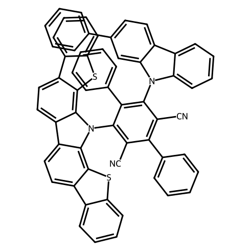 N#Cc1c(-c2ccccc2)c(C#N)c(-n2c3c(ccc4c5ccccc5sc43)c3ccc4c5ccccc5sc4c32)c(-c2ccccc2)c1-n1c2ccccc2c2ccc(-c3ccccc3)cc21